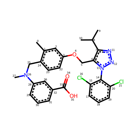 Cc1cc(OCc2c(C(C)C)nnn2-c2c(Cl)cccc2Cl)ccc1CN(C)c1cccc(C(=O)O)c1